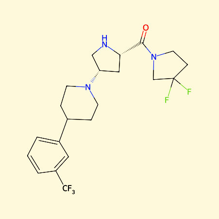 O=C([C@@H]1C[C@H](N2CCC(c3cccc(C(F)(F)F)c3)CC2)CN1)N1CCC(F)(F)C1